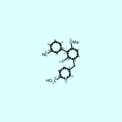 COc1ccc(Cc2ccc(C(=O)O)nc2)c(F)c1-c1cccc(C#N)c1